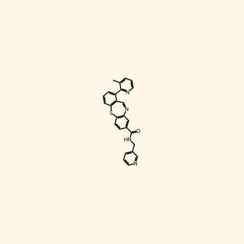 Cc1cccnc1-c1cccc2c1C=Nc1cc(C(=O)NCc3cccnc3)ccc1S2